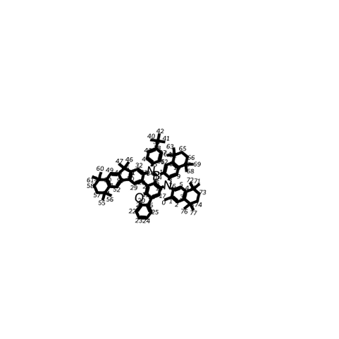 Cc1cc2c(cc1N1c3cc4c(cc3B3c5c1cc1c(oc6ccccc61)c5-c1cc5c(cc1N3c1ccc(C(C)(C)C)cc1)C(C)(C)c1cc3c(cc1-5)C(C)(C)CCC3(C)C)C(C)(C)CCC4(C)C)C(C)(C)CCC2(C)C